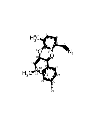 Cc1ccc(C#N)nc1O/C(=C/N(C)C)C(=O)c1ccc(F)cc1